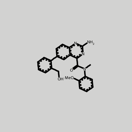 COc1ccccc1N(C)C(=O)c1nc(N)nc2ccc(-c3ccccc3CO)cc12